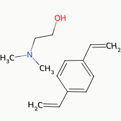 C=Cc1ccc(C=C)cc1.CN(C)CCO